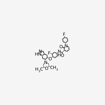 CC1CN(c2cc3[nH]ncc3cc2Oc2ccc(NC(=O)c3cccn(-c4ccc(F)cc4)c3=O)cc2F)CC(C)O1